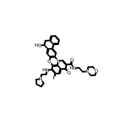 O=C(NCCN1CCOCC1)c1cn2c3c(c(NCCN4CCCC4)c(F)cc3c1=O)Oc1cc3c(cc1-2)-c1ccccc1CC3O